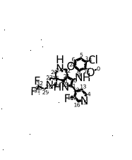 COc1c(Cl)cccc1Nc1c(-c2ccncc2F)[nH]c2c1C(=O)NCC21CN(CC(F)F)C1